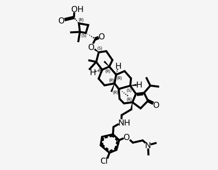 CC(C)C1=C2[C@H]3CC[C@@H]4[C@@]5(C)CC[C@H](OC(=O)[C@H]6C[C@@H](C(=O)O)C6(C)C)C(C)(C)[C@@H]5CC[C@@]4(C)[C@]3(C)CC[C@@]2(CCNCc2ccc(Cl)cc2OCCN(C)C)CC1=O